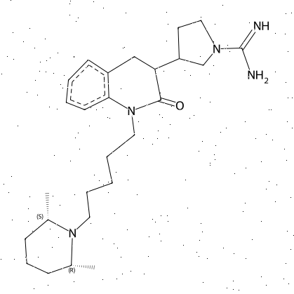 C[C@@H]1CCC[C@H](C)N1CCCCCN1C(=O)C(C2CCN(C(=N)N)C2)Cc2ccccc21